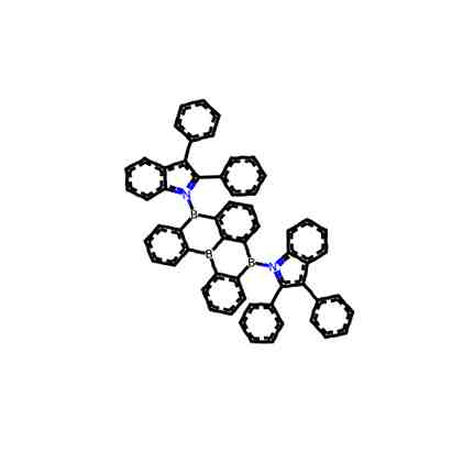 c1ccc(-c2c(-c3ccccc3)n(B3c4ccccc4B4c5ccccc5B(n5c(-c6ccccc6)c(-c6ccccc6)c6ccccc65)c5cccc3c54)c3ccccc23)cc1